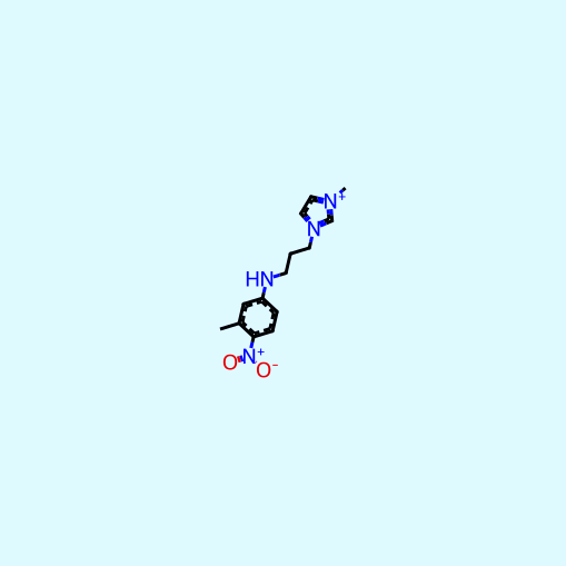 Cc1cc(NCCCn2cc[n+](C)c2)ccc1[N+](=O)[O-]